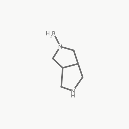 BN1CC2CNCC2C1